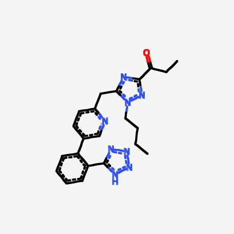 CCCCn1nc(C(=O)CC)nc1Cc1ccc(-c2ccccc2-c2nnn[nH]2)cn1